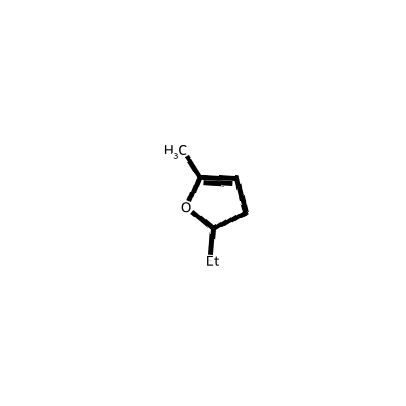 CCC1CC=C(C)O1